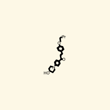 CC(C)CCOc1ccc(/C=C/C(=O)c2ccc(N3CCC(O)CC3)cc2)cc1